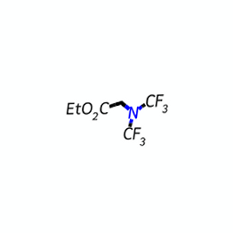 CCOC(=O)CN(C(F)(F)F)C(F)(F)F